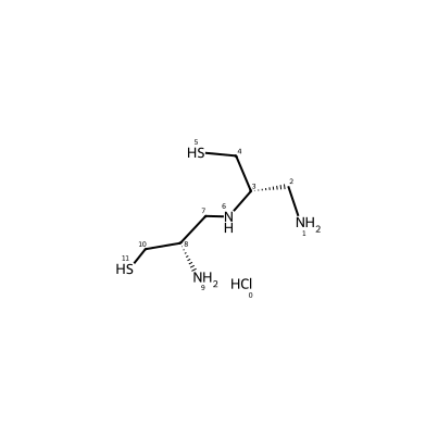 Cl.NC[C@@H](CS)NC[C@H](N)CS